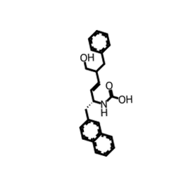 O=C(O)N[C@@H](C=CC(CO)Cc1ccccc1)Cc1ccc2ccccc2c1